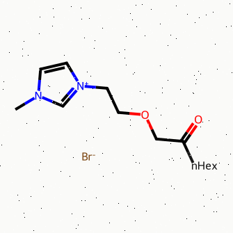 CCCCCCC(=O)COCC[n+]1ccn(C)c1.[Br-]